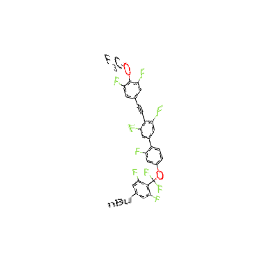 CCCCc1cc(F)c(C(F)(F)Oc2ccc(-c3cc(F)c(C#Cc4cc(F)c(OC(F)(F)F)c(F)c4)c(F)c3)c(F)c2)c(F)c1